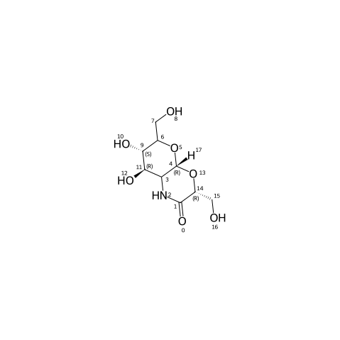 O=C1NC2[C@H](OC(CO)[C@@H](O)[C@@H]2O)O[C@@H]1CO